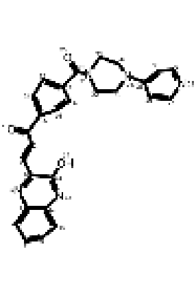 O=C(C=Cc1nc2ccccc2nc1O)c1ccc(C(=O)N2CCN(c3ccncc3)CC2)cc1